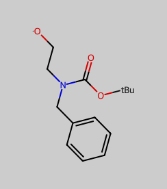 CC(C)(C)OC(=O)N(CC[O])Cc1ccccc1